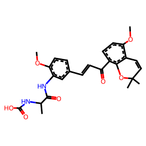 COc1ccc(/C=C/C(=O)c2ccc(OC)c3c2OC(C)(C)C=C3)cc1NC(=O)C(C)NC(=O)O